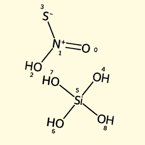 O=[N+](O)[S-].O[Si](O)(O)O